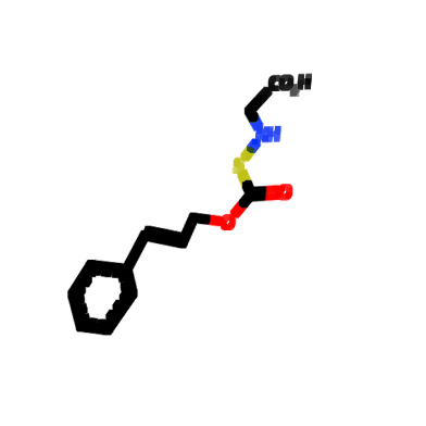 O=C(O)CNSC(=O)OCC=Cc1ccccc1